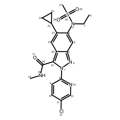 CCN(c1cc2nn(-c3ccc(Cl)cn3)c(C(=O)NC)c2cc1C1CC1)S(C)(=O)=O